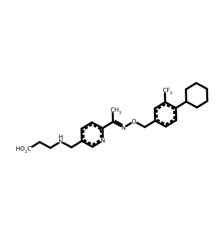 C/C(=N\OCc1ccc(C2CCCCC2)c(C(F)(F)F)c1)c1ccc(CNCCC(=O)O)cn1